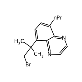 [CH2]CCc1ccc(C(C)(C)CBr)c2nccnc12